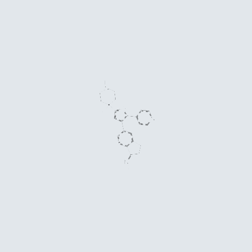 ON=C1CCc2cc(-c3cc(C4(O)CCNCC4)oc3-c3ccncc3)ccc21